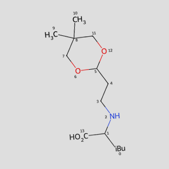 CCC(C)C(NCCC1OCC(C)(C)CO1)C(=O)O